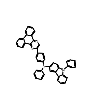 c1ccc(N(c2ccc(-c3cnc4c5ccccc5c5ccccc5c4n3)cc2)c2ccc3c(c2)c2ccccc2n3-c2ccccc2)cc1